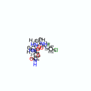 CC(C)CC(NC(=O)C(NC(=O)/C=C/c1ccc(Cl)cc1F)C(C)C)C(=O)NC(C=O)C[C@@H]1CCNC1=O